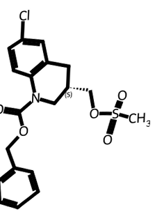 CS(=O)(=O)OC[C@H]1Cc2cc(Cl)ccc2N(C(=O)OCc2ccccc2)C1